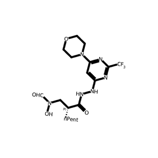 CCCCC[C@H](CN(O)C=O)C(=O)NNc1cc(N2CCOCC2)nc(C(F)(F)F)n1